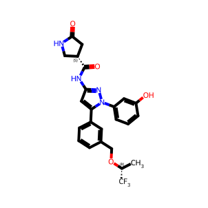 C[C@@H](OCc1cccc(-c2cc(NC(=O)[C@@H]3CNC(=O)C3)nn2-c2cccc(O)c2)c1)C(F)(F)F